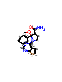 COC1(c2ccccc2)C(C(N)=O)CCN1c1ncnc2sccc12